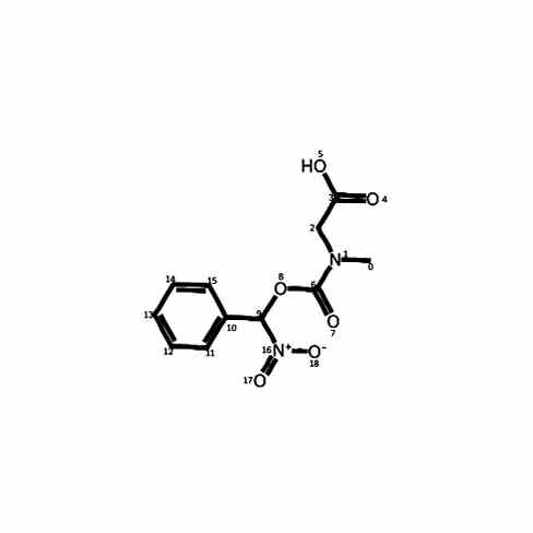 CN(CC(=O)O)C(=O)OC(c1ccccc1)[N+](=O)[O-]